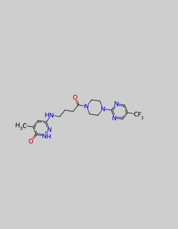 Cc1cc(NCCCC(=O)N2CCN(c3ncc(C(F)(F)F)cn3)CC2)n[nH]c1=O